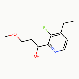 CCc1ccnc(C(O)CCOC)c1F